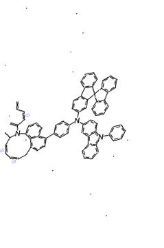 C=C/C=C\C(=C)N1c2cccc3c(-c4ccc(N(c5ccc6c(c5)C5(c7ccccc7-c7ccccc75)c5ccccc5-6)c5ccc6c(c5)c5ccccc5n6-c5ccccc5)cc4)ccc(c23)C/C=C\C=C/C1C